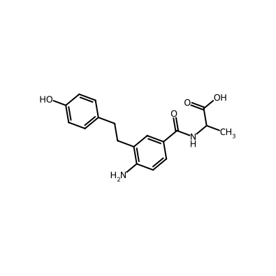 CC(NC(=O)c1ccc(N)c(CCc2ccc(O)cc2)c1)C(=O)O